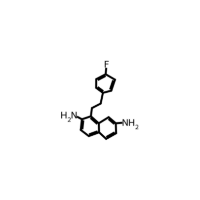 Nc1ccc2ccc(N)c(CCc3ccc(F)cc3)c2c1